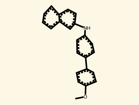 COc1ccc(-c2ccc(Nc3ccc4ccccc4c3)cc2)cc1